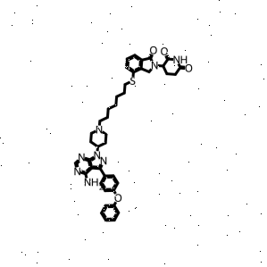 Nc1ncnc2c1c(-c1ccc(Oc3ccccc3)cc1)nn2C1CCN(CCCCCCCSc2cccc3c2CN(C2CCC(=O)NC2=O)C3=O)CC1